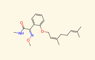 CNC(=O)C(=NOC)c1ccccc1OCC=C(C)CCC=C(C)C